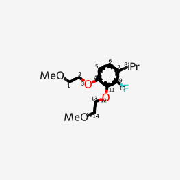 COCCOc1ccc(C(C)C)c(F)c1OCCOC